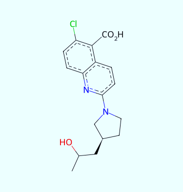 CC(O)C[C@@H]1CCN(c2ccc3c(C(=O)O)c(Cl)ccc3n2)C1